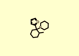 CC1CCCCC1(c1ccco1)N1CCCCC1